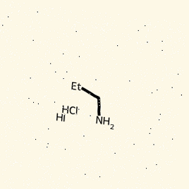 CCCN.Cl.I